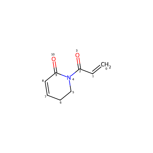 C=CC(=O)N1CCC=CC1=O